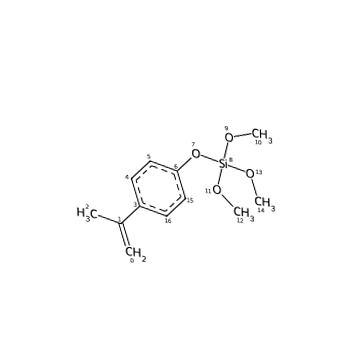 C=C(C)c1ccc(O[Si](OC)(OC)OC)cc1